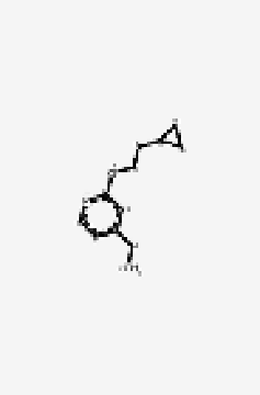 CCc1ccnc(OCCC2CC2)c1